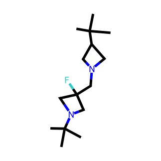 CC(C)(C)C1CN(CC2(F)CN(C(C)(C)C)C2)C1